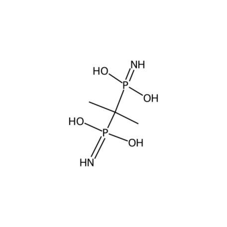 CC(C)(P(=N)(O)O)P(=N)(O)O